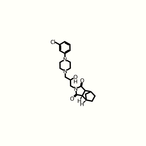 O=C1C2C3CC[C@@H](C3)[C@@H]2C(=O)N1CC(O)CN1CCN(c2cccc(Cl)c2)CC1